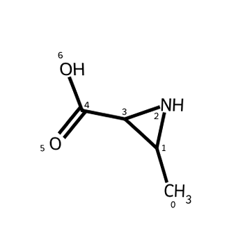 CC1NC1C(=O)O